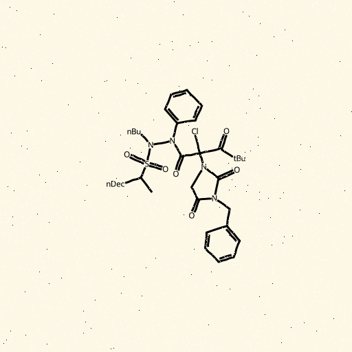 CCCCCCCCCCC(C)S(=O)(=O)N(CCCC)N(C(=O)C(Cl)(C(=O)C(C)(C)C)N1CC(=O)N(Cc2ccccc2)C1=O)c1ccccc1